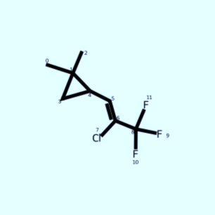 CC1(C)CC1C=C(Cl)C(F)(F)F